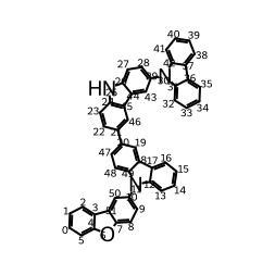 c1ccc2c(c1)oc1ccc(-n3c4ccccc4c4cc(-c5ccc6[nH]c7ccc(-n8c9ccccc9c9ccccc98)cc7c6c5)ccc43)cc12